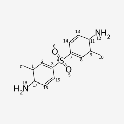 CC1C=C(S(=O)(=O)C2=CC(C)C(N)C=C2)C=CC1N